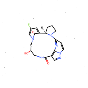 O=C1NC[C@@H](O)Cn2cc(F)cc(c2=O)[C@H]2CCCN2c2ccn3ncc1c3n2